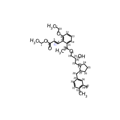 CCOC(=O)/C=C/c1c(OCC)cccc1[C@@H](C)OC[C@H](O)CN1CCC[C@H]1Cc1ccc(C)c(F)c1